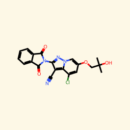 CC(C)(O)COc1cc(Cl)c2c(C#N)c(N3C(=O)c4ccccc4C3=O)nn2c1